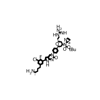 C[C@H](N)CCCc1cc(Cl)c(F)c(-c2cc3cn(-c4ccc([C@@H]5C[C@@H](N(C(=O)OC(C)(C)C)c6nccs6)C[C@@H](CCNC(=N)N)O5)cc4)c(=O)nc3[nH]2)c1